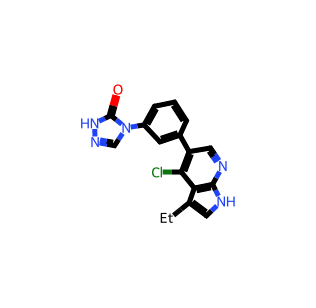 CCc1c[nH]c2ncc(-c3cccc(-n4cn[nH]c4=O)c3)c(Cl)c12